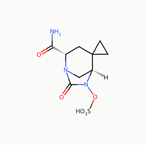 NC(=O)[C@@H]1CC2(CC2)[C@@H]2CN1C(=O)N2OS(=O)(=O)O